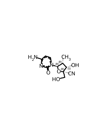 C[C@H]1[C@H](n2ccc(N)nc2=O)O[C@](C#N)(CO)[C@H]1O